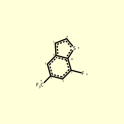 Fc1cc(C(F)(F)F)cc2[c]csc12